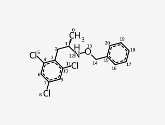 C[C@H](Cc1c(Cl)cc(Cl)cc1Cl)NOCc1ccccc1